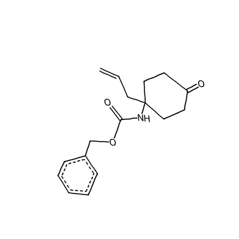 C=CCC1(NC(=O)OCc2ccccc2)CCC(=O)CC1